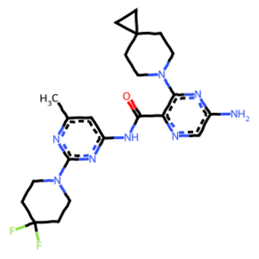 Cc1cc(NC(=O)c2ncc(N)nc2N2CCC3(CC2)CC3)nc(N2CCC(F)(F)CC2)n1